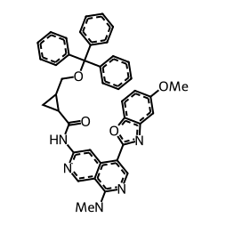 CNc1ncc(-c2nc3cc(OC)ccc3o2)c2cc(NC(=O)C3CC3COC(c3ccccc3)(c3ccccc3)c3ccccc3)ncc12